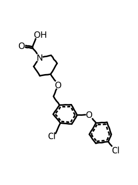 O=C(O)N1CCC(OCc2cc(Cl)cc(Oc3ccc(Cl)cc3)c2)CC1